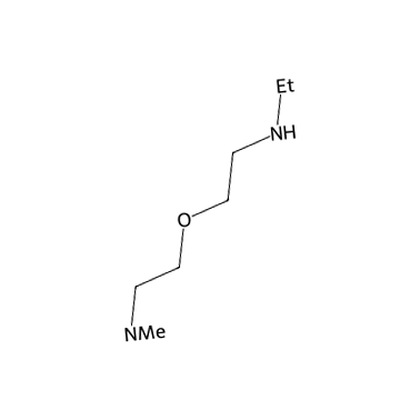 CCNCCOCCNC